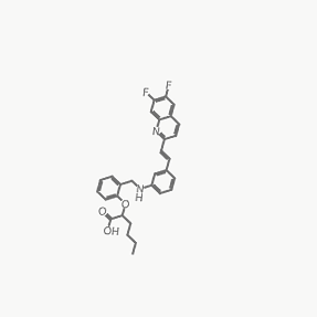 CCCCC(Oc1ccccc1CNc1cccc(/C=C/c2ccc3cc(F)c(F)cc3n2)c1)C(=O)O